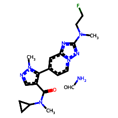 CN(CCF)c1nc2cc(-c3c(C(=O)N(C)C4CC4)cnn3C)ccn2n1.NC=O